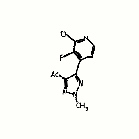 CC(=O)c1nn(C)nc1-c1ccnc(Cl)c1F